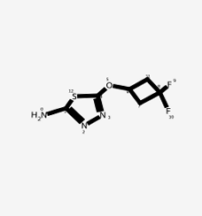 Nc1nnc(OC2CC(F)(F)C2)s1